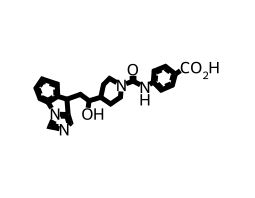 O=C(O)c1ccc(NC(=O)N2CCC(C(O)CC3c4ccccc4-n4cncc43)CC2)cc1